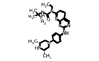 CCN(C(=O)NC(C)(C)C)c1ccc2cnc(Nc3ccc(N4C[C@@H](C)N[C@@H](C)C4)cc3)nc2n1